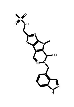 Cn1c2c(c3sc(CNS(C)(=O)=O)nc31)C=NN(Cc1cccc3[nH]ncc13)C2O